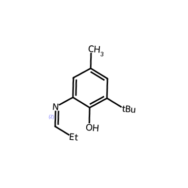 CC/C=N\c1cc(C)cc(C(C)(C)C)c1O